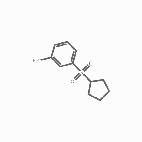 O=S(=O)(c1cccc(C(F)(F)F)c1)C1CCCC1